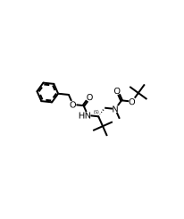 CN(C[C@@H](NC(=O)OCc1ccccc1)C(C)(C)C)C(=O)OC(C)(C)C